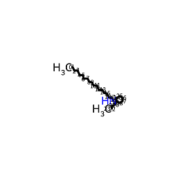 CCCCCCCCCCCCCCCCCCNC1(CCCC)CCCCC1